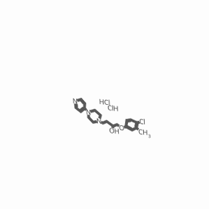 Cc1cc(OCC(O)CCN2CCN(c3ccncc3)CC2)ccc1Cl.Cl.Cl